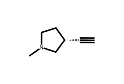 C#C[C@H]1CCN(C)C1